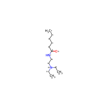 CCCCCC(=O)NCCN(CC)CC